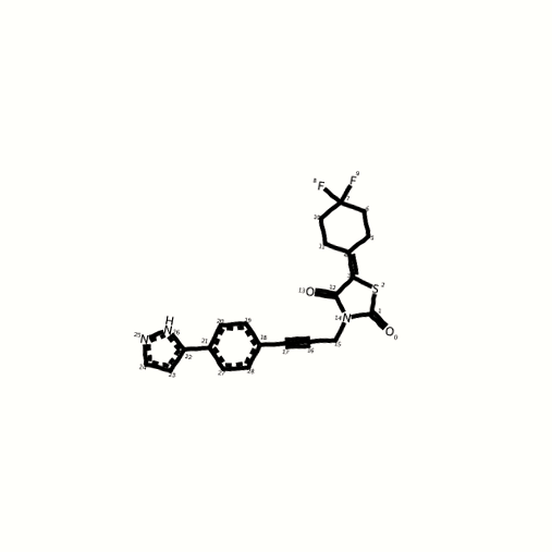 O=C1SC(=C2CCC(F)(F)CC2)C(=O)N1CC#Cc1ccc(-c2ccn[nH]2)cc1